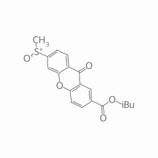 CCC(C)OC(=O)c1ccc2oc3cc([S+](C)[O-])ccc3c(=O)c2c1